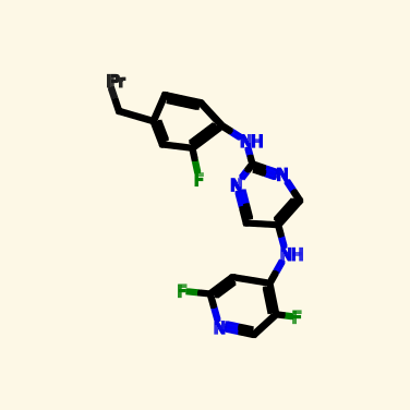 CC(C)Cc1ccc(Nc2ncc(Nc3cc(F)ncc3F)cn2)c(F)c1